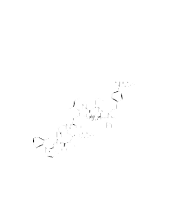 C/C=C(/C)[C@@H]([C@@H](CC(=O)N1CCC[C@H]1[C@H](OC)[C@@H](C)C(=O)N[C@@H](Cc1ccccc1)c1nccs1)OC)N(C)C(=O)[C@@H](NC(=O)[C@H](C(C)C)N(C)CCc1ccc(NC)cc1)C(C)C